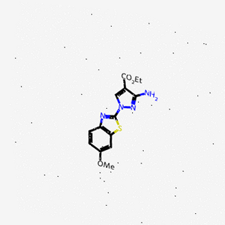 CCOC(=O)c1cn(-c2nc3ccc(OC)cc3s2)nc1N